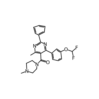 Cc1nc(-c2ccccc2)nc(-c2cccc(OC(F)F)c2)c1C(=O)N1CCN(C)CC1